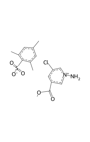 COC(=O)c1cc(Cl)c[n+](N)c1.Cc1cc(C)c(S(=O)(=O)[O-])c(C)c1